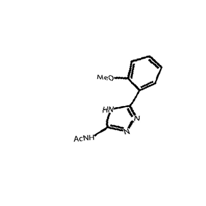 COc1ccccc1-c1nnc(NC(C)=O)[nH]1